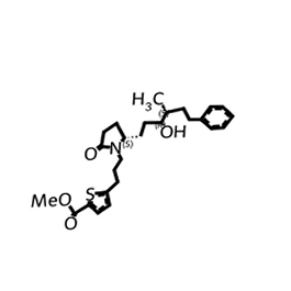 COC(=O)c1ccc(CCCN2C(=O)CC[C@@H]2CC[C@@H](O)[C@@H](C)CCc2ccccc2)s1